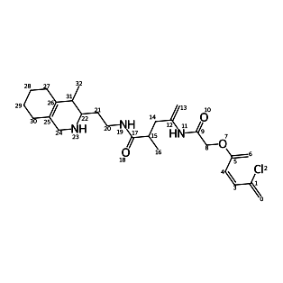 C=C(Cl)/C=C\C(=C)OCC(=O)NC(=C)CC(C)C(=O)NCCC1NCC2=C(CCCC2)C1C